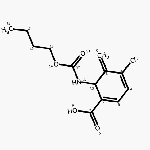 C=C1C(Cl)=CC=C(C(=O)O)C1NC(=O)OCCCC